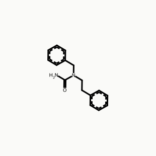 NC(=O)N(CCc1ccccc1)Cc1ccccc1